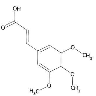 COC1=CC(/C=C/C(=O)O)=CC(OC)C1OC